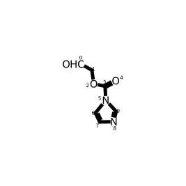 O=CCOC(=O)n1ccnc1